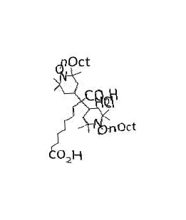 CCCCCCCCON1C(C)(C)CC(C(CCCCCCCC(=O)O)(C(=O)O)C2CC(C)(C)N(OCCCCCCCC)C(C)(C)C2)CC1(C)C.Cl